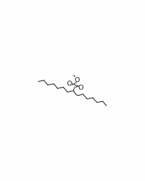 CCCCCCCC(CCCCCCC)S(=O)(=O)OC